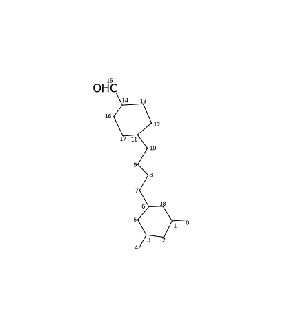 CC1CC(C)CC(CCCCC2CCC(C=O)CC2)C1